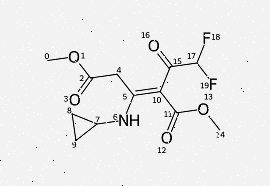 COC(=O)CC(NC1CC1)=C(C(=O)OC)C(=O)C(F)F